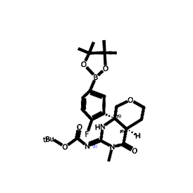 CN1C(=O)[C@@H]2CCOC[C@]2(c2cc(B3OC(C)(C)C(C)(C)O3)ccc2F)N/C1=N\C(=O)OC(C)(C)C